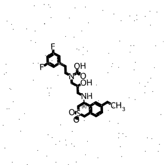 CCc1ccc2c(c1)[C@@H](NCC(O)CN(CCc1cc(F)cc(F)c1)C(=O)O)CS(=O)(=O)C2